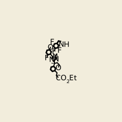 CCOC(=O)CCc1cccc2c1OCC[C@@]2(C)c1nc(-c2cc(Oc3c(F)c(F)c4[nH]ccc4c3F)ccc2F)n(C)n1